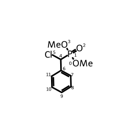 COP(=O)(OC)C(Cl)c1ccccc1